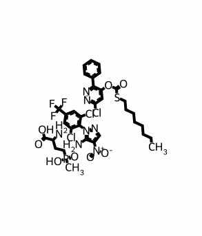 CCCCCCCCSC(=O)Oc1cc(Cl)nnc1-c1ccccc1.CP(=O)(O)CCC(N)C(=O)O.Nc1c([N+](=O)[O-])cnn1-c1c(Cl)cc(C(F)(F)F)cc1Cl